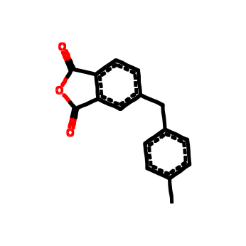 Cc1ccc(Cc2ccc3c(c2)C(=O)OC3=O)cc1